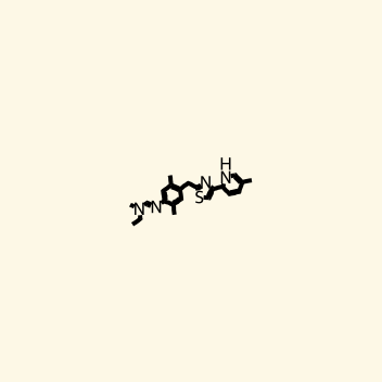 CCN(C)/C=N/c1cc(C)c(Cc2nc(C3C=CC(C)=CN3)cs2)cc1C